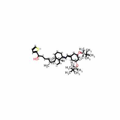 C[C@H](CCCC(O)c1cccs1)[C@H]1CC[C@H]2/C(=C/C=C3C[C@@H](O[Si](C)(C)C(C)(C)C)C[C@H](O[Si](C)(C)C(C)(C)C)C3)CCC[C@]12C